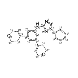 C1=C(c2cc(Nc3ncn(-c4ccccc4)n3)cc(C3=CCOCC3)c2)CCOC1